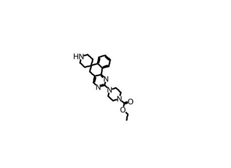 CCOC(=O)N1CCN(c2ncc3c(n2)-c2ccccc2C2(CCNCC2)C3)CC1